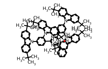 CC(C)(C)c1ccc2c3ccc(C(C)(C)C)cc3n(-c3ccc(-c4nc(-c5ccccc5)nc(-c5ccc(-n6c7cc(C(C)(C)C)ccc7c7ccc(C(C)(C)C)cc76)cc5-n5c6cc(C(C)(C)C)ccc6c6ccc(C(C)(C)C)cc65)n4)c(-n4c5cc(C(C)(C)C)ccc5c5ccc(C(C)(C)C)cc54)c3)c2c1